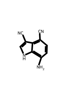 N#Cc1ccc(N)c2[nH]cc(C#N)c12